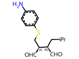 CC(C)C[C@@H]([C]=O)[C@@H]([C]=O)CSc1ccc(N)cc1